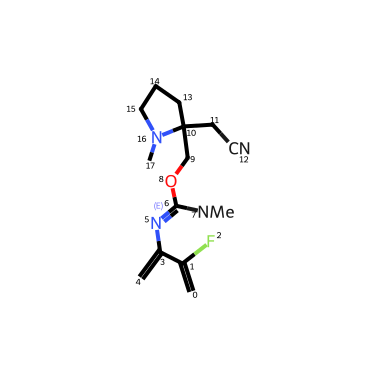 C=C(F)C(=C)/N=C(\NC)OCC1(CC#N)CCCN1C